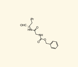 CC(C)C[C@@H]([C]=O)NC(=O)CNC(=O)OCc1ccccc1